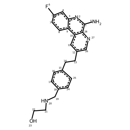 Nc1nc2cc(F)ccc2c2cc(CCc3ccc(CNCCO)cc3)cnc12